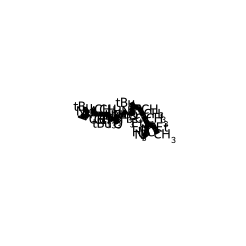 CCC(C)(C)CC(n1ccnc1)C(C)(CC)C(C)(C)C(C)(C)CC(C(=O)NCNC(=O)C(CC(C)(C)C(C)(C)C(C)(CC(C)(C)C)n1ccnc1)C(C)(C)C)C(C)(C)C